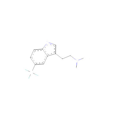 CN(C)CCc1c[nH]c2ccc([B-](F)(F)F)cc12